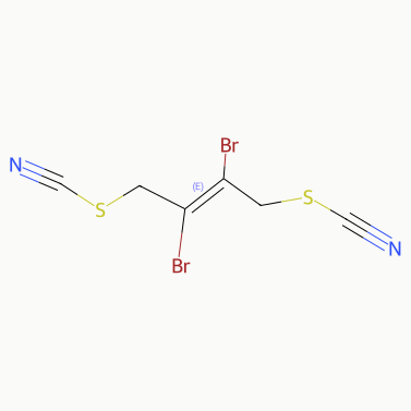 N#CSC/C(Br)=C(\Br)CSC#N